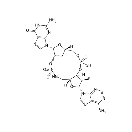 Nc1nc2c(ncn2[C@@H]2O[C@@H]3COP(=O)(S)O[C@H]4[C@@H](F)[C@H](n5cnc6c(N)ncnc65)O[C@@H]4CNS(=O)(=O)O[C@@H]2C3)c(=O)[nH]1